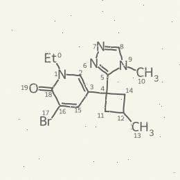 CCn1cc(C2(c3nncn3C)CC(C)C2)cc(Br)c1=O